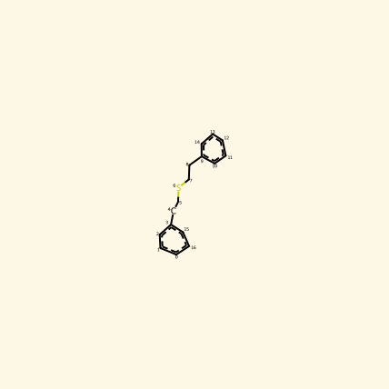 c1ccc(CCSCCc2ccccc2)cc1